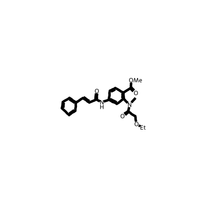 CCOCC(=O)N(C)c1cc(NC(=O)C=Cc2ccccc2)ccc1C(=O)OC